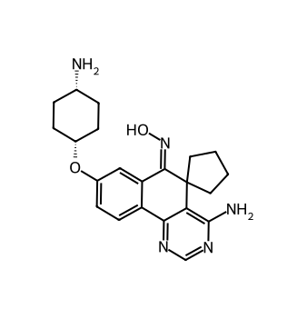 Nc1ncnc2c1C1(CCCC1)/C(=N/O)c1cc(O[C@H]3CC[C@@H](N)CC3)ccc1-2